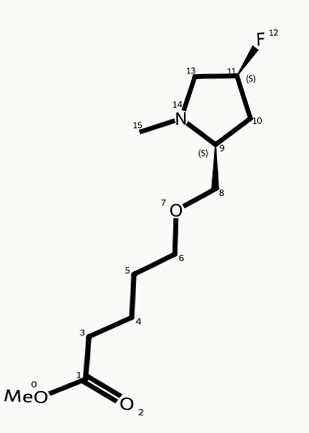 COC(=O)CCCCOC[C@@H]1C[C@H](F)CN1C